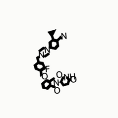 N#Cc1ccc(N2CCN(Cc3ccc(COc4cccc5c4CN([C@H]4CCC(=O)NC4=O)C5=O)c(F)c3)CC2)cc1C1CC1